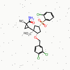 N#CC1(C(N)=O)CC1[C@@]1(C(=O)O)C[C@H](S(=O)(=O)c2ccccc2Cl)C[C@@H]1OCc1ccc(Cl)c(Cl)c1